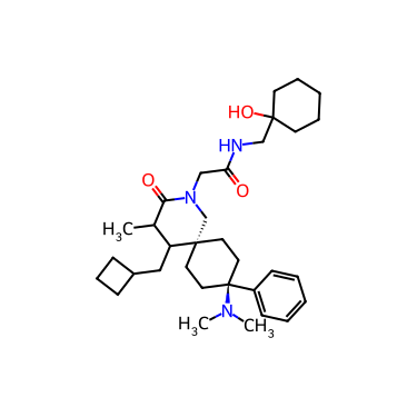 CC1C(=O)N(CC(=O)NCC2(O)CCCCC2)C[C@]2(CC[C@](c3ccccc3)(N(C)C)CC2)C1CC1CCC1